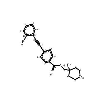 O=C(NCC1(F)CCOCC1)c1ccc(C#Cc2ccccc2F)cc1